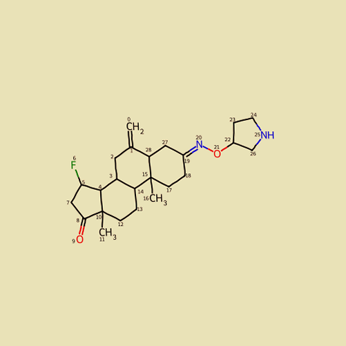 C=C1CC2C3C(F)CC(=O)C3(C)CCC2C2(C)CCC(=NOC3CCNC3)CC12